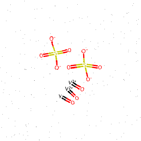 O=S(=O)([O-])[O-].O=S(=O)([O-])[O-].[O]=[V+2].[O]=[V+2].[O]=[V]